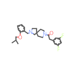 CC(C)COc1ccccc1CN1CCC2(CCN(C(=O)Cc3cc(F)cc(F)c3)CC2)C1